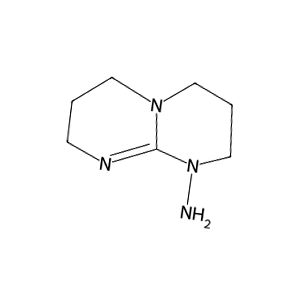 NN1CCCN2CCCN=C12